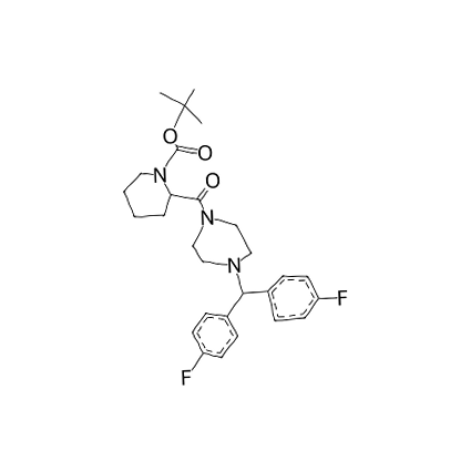 CC(C)(C)OC(=O)N1CCCCC1C(=O)N1CCN(C(c2ccc(F)cc2)c2ccc(F)cc2)CC1